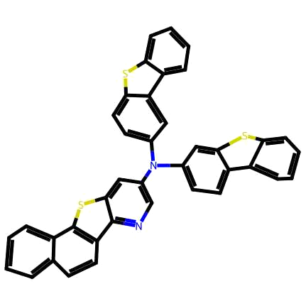 c1ccc2c(c1)ccc1c3ncc(N(c4ccc5c(c4)sc4ccccc45)c4ccc5sc6ccccc6c5c4)cc3sc21